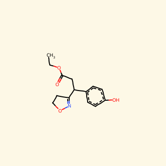 CCOC(=O)CC(C1=NOCC1)c1ccc(O)cc1